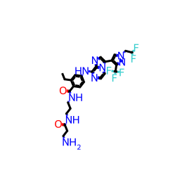 CCc1cc(Nc2nccn3c(-c4cn(CC(F)F)nc4C(F)(F)F)cnc23)ccc1C(=O)NCCCNC(=O)CCN